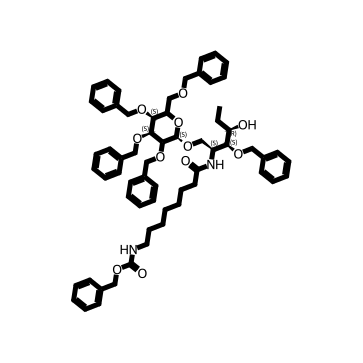 CC[C@@H](O)[C@@H](OCc1ccccc1)[C@H](CO[C@H]1OC(COCc2ccccc2)[C@H](OCc2ccccc2)[C@H](OCc2ccccc2)C1OCc1ccccc1)NC(=O)CCCCCCCNC(=O)OCc1ccccc1